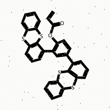 C=CC(=O)Oc1ccc(-c2cccc3c2Sc2ccccc2S3)cc1-c1cccc2c1Sc1ccccc1S2